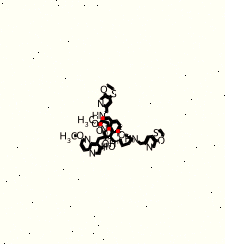 COc1ccc2ccc(F)c(C(C(O)[C@@H]3CC[C@@H](NCc4cc5c(cn4)OCCS5)CO3)[C@](O)(Cc3c(F)cnc4ccc(OC)nc34)[C@@H]3CC[C@@H](NCc4cc5c(cn4)OCCS5)CO3)c2n1